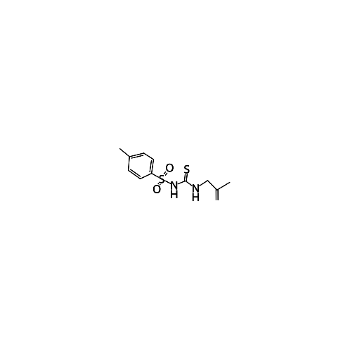 C=C(C)CNC(=S)NS(=O)(=O)c1ccc(C)cc1